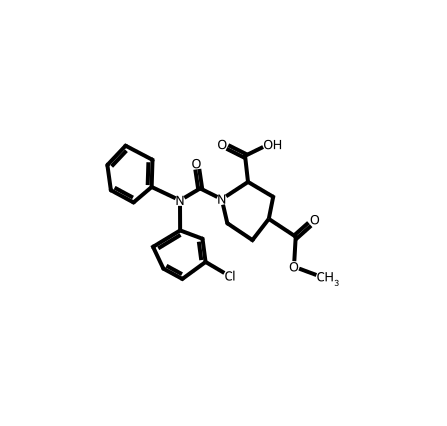 COC(=O)C1CCN(C(=O)N(c2ccccc2)c2cccc(Cl)c2)C(C(=O)O)C1